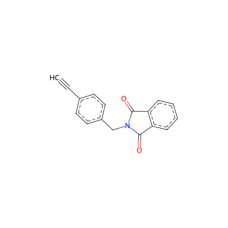 C#Cc1ccc(CN2C(=O)c3ccccc3C2=O)cc1